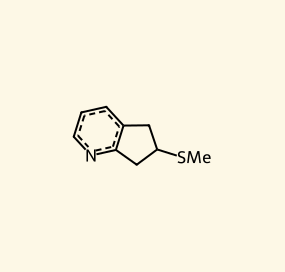 CSC1Cc2cccnc2C1